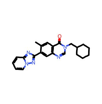 Cc1cc2c(=O)n(CC3CCCCC3)cnc2cc1-c1nc2ccccn2n1